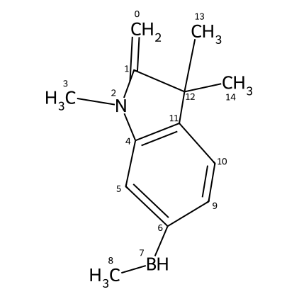 C=C1N(C)c2cc(BC)ccc2C1(C)C